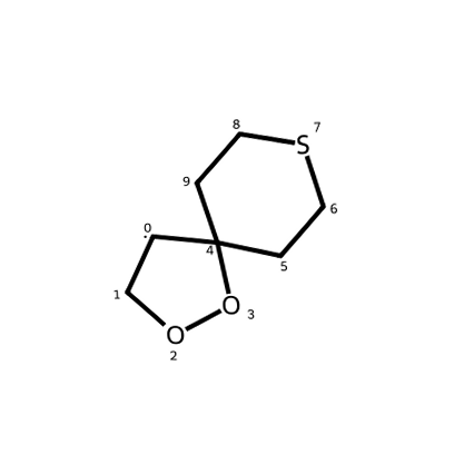 [CH]1COOC12CCSCC2